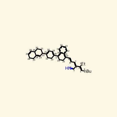 CCCC/C=C(CC)/C(C=N)=C/C=C/C1=c2ccccc2=C(C2=CC=C(C3C=C4CCC=CC4CC3)CC2)CC1